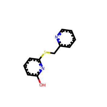 Oc1cccc(SCc2ccccn2)n1